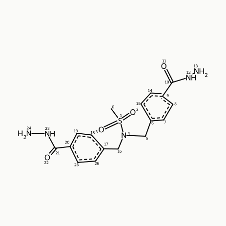 CS(=O)(=O)N(Cc1ccc(C(=O)NN)cc1)Cc1ccc(C(=O)NN)cc1